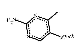 CCCCCc1cnc(N)nc1C